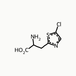 NC(Cc1ncc(Cl)s1)C(=O)O